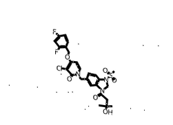 CC(C)(O)CC(=O)N1CN(S(C)(=O)=O)c2ccc(Cn3ccc(OCc4ccc(F)cc4F)c(Cl)c3=O)cc21